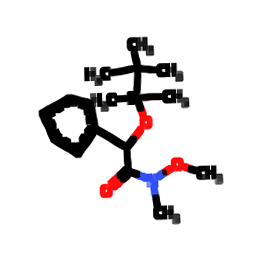 CON(C)C(=O)C(O[Si](C)(C)C(C)(C)C)c1ccccc1